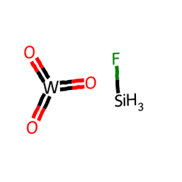 F[SiH3].[O]=[W](=[O])=[O]